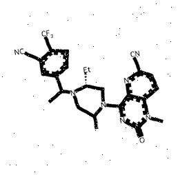 CC[C@@H]1CN(c2nc(=O)n(C)c3ccc(C#N)nc23)C(C)CN1C(C)c1ccc(C(F)(F)F)c(C#N)c1